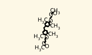 CC(=O)OCCOc1c(C)cc(Cc2cc(C)c(OCCOC(C)=O)c(C)c2)cc1C